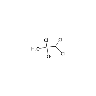 CC([O])(Cl)C(Cl)Cl